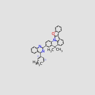 C/C=C\C(=C/C)c1nc(-c2ccc3c(c2)C(C)(C)c2cccc4c5c6ccccc6oc5n-3c24)nc2ccccc12